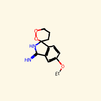 CCOc1ccc2c(c1)C(=N)NC21CCCOO1